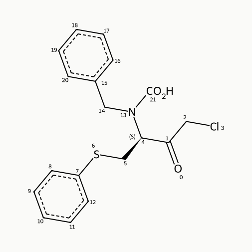 O=C(CCl)[C@@H](CSc1ccccc1)N(Cc1ccccc1)C(=O)O